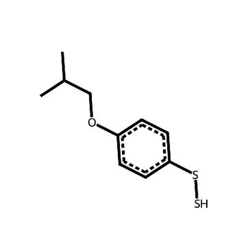 CC(C)COc1ccc(SS)cc1